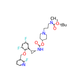 CN(CCCN1CCC(OC(=O)N[C@@H]2C[C@H]2c2cc(F)cc(F)c2OCc2cccnc2F)CC1)C(=O)OC(C)(C)C